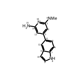 CNc1cc(-c2ccc3[nH]ccc3c2)cc(N)n1